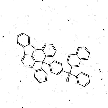 O=P(c1ccccc1)(c1ccc(C2(c3ccccc3)c3ccccc3-n3c4ccccc4c4cccc2c43)cc1)c1ccc2ccccc2c1